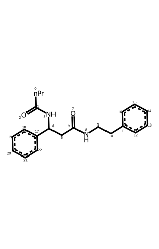 CCCC(=O)NC(CC(=O)NCCc1ccccc1)c1ccccc1